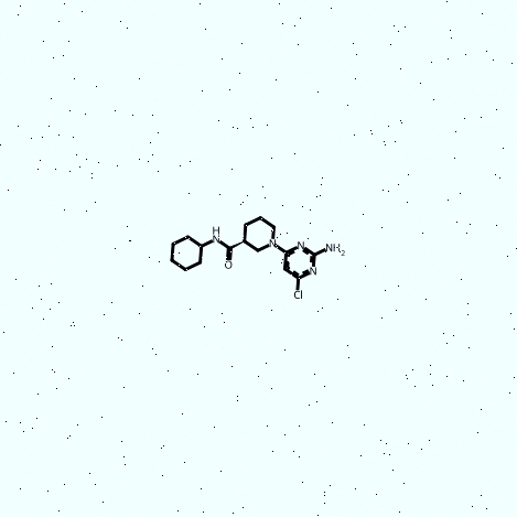 Nc1nc(Cl)cc(N2CCC[C@H](C(=O)NC3CCCCC3)C2)n1